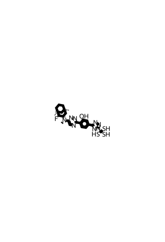 CN(c1cnc(-c2ccc(-c3nnn(C(S)(S)S)n3)cc2O)nn1)[C@H]1C[C@]2(C)CCC[C@@](C)(C2)[C@H]1F